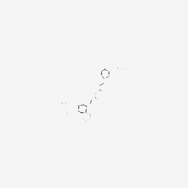 COc1cc(/C=C/C(=O)CC(=O)/C=C/c2cc(OC)c(O)cc2C[C@H](N)C(=O)O)ccc1O